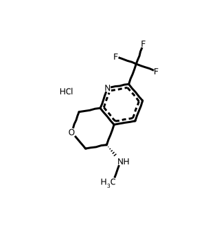 CN[C@@H]1COCc2nc(C(F)(F)F)ccc21.Cl